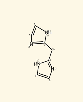 [C](c1ncc[nH]1)c1ncc[nH]1